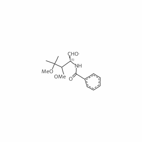 COC([C@@H]([C]=O)NC(=O)c1ccccc1)C(C)(C)OC